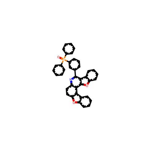 O=P(c1ccccc1)(c1ccccc1)c1cccc(-c2nc3ccc4oc5ccccc5c4c3c3oc4ccccc4c23)c1